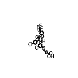 COc1cc(NC(C(=O)N2CCc3ccc(OC(F)(F)F)cc32)c2ccc(Cl)cc2)cc(OCC2CC(C(=O)O)C2)c1